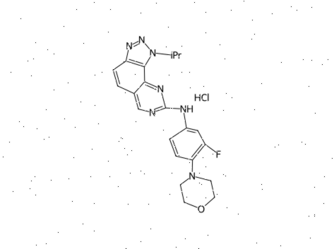 CC(C)n1nnc2ccc3cnc(Nc4ccc(N5CCOCC5)c(F)c4)nc3c21.Cl